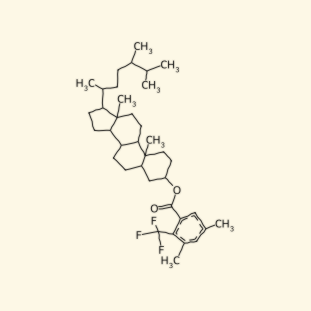 Cc1cc(C)c(C(F)(F)F)c(C(=O)OC2CCC3(C)C(CCC4C3CCC3(C)C(C(C)CCC(C)C(C)C)CCC43)C2)c1